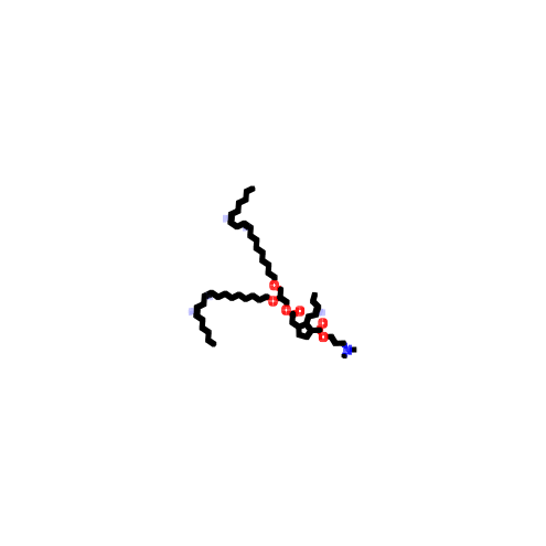 CC/C=C\CC1C(CC(=O)OCC(COCCCCCCCC/C=C\C/C=C\CCCCC)OCCCCCCCC/C=C\C/C=C\CCCCC)CCC1C(=O)OCCCN(C)C